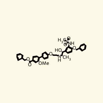 COc1cc(C(=O)OCc2ccccc2)ccc1-c1ccc(OCCN[C@@H](C)[C@H](O)c2ccc(OCc3ccccc3)c(NS(C)(=O)=O)c2)cc1